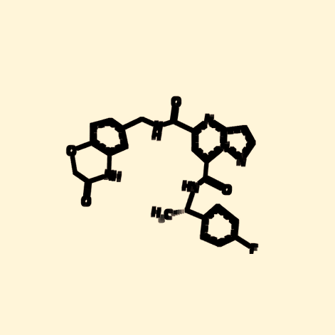 C[C@H](NC(=O)c1cc(C(=O)NCc2ccc3c(c2)NC(=O)CO3)nc2ccnn12)c1ccc(F)cc1